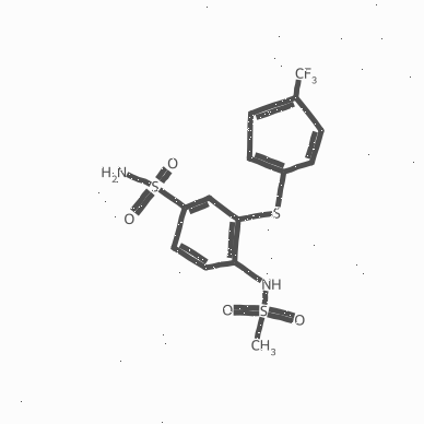 CS(=O)(=O)Nc1ccc(S(N)(=O)=O)cc1Sc1ccc(C(F)(F)F)cc1